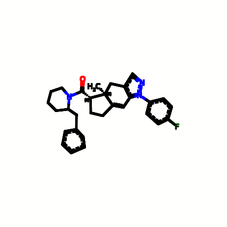 C[C@]12Cc3cnn(-c4ccc(F)cc4)c3C=C1CC[C@@H]2C(=O)N1CCCCC1Cc1ccccc1